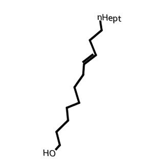 CCCCCCCCCC=CCCCCCCCO